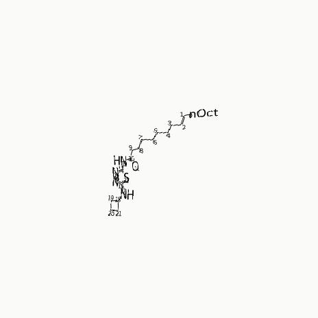 CCCCCCCCC=CCCCCCCCC(=O)Nc1nnc(NC2CCC2)s1